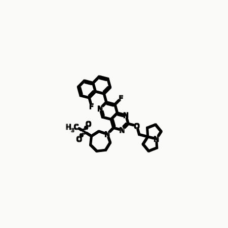 CS(=O)(=O)C1CCCCN(c2nc(OCC34CCCN3CCC4)nc3c(F)c(-c4cccc5cccc(F)c45)ncc23)C1